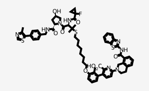 Cc1ncsc1-c1ccc(CNC(=O)[C@@H]2C[C@@H](O)CN2C(=O)[C@@H](NC(=O)C2(F)CC2)C(C)(C)SCCCCCCCCOc2cccc(-c3ccc(N4CCc5cccc(C(=O)Nc6nc7ccccc7s6)c5C4)nc3C(=O)O)c2C)cc1